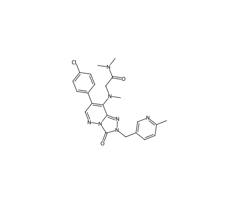 Cc1ccc(Cn2nc3c(N(C)CC(=O)N(C)C)c(-c4ccc(Cl)cc4)cnn3c2=O)cn1